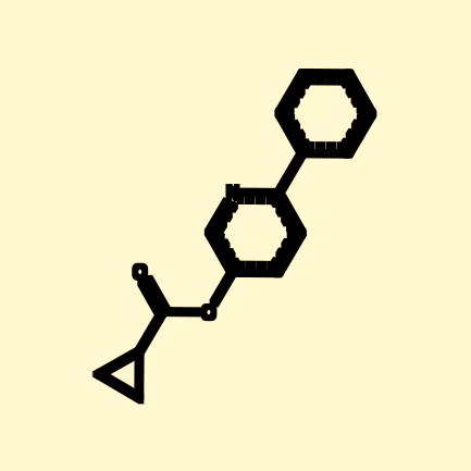 O=C(Oc1ccc(-c2ccccc2)nc1)C1CC1